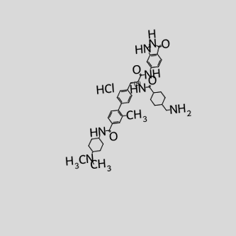 Cc1cc(C(=O)NC2CCC(N(C)C)CC2)ccc1-c1ccc(C[C@H](NC(=O)C2CCC(CN)CC2)C(=O)Nc2ccc3c(=O)[nH][nH]c3c2)cc1.Cl